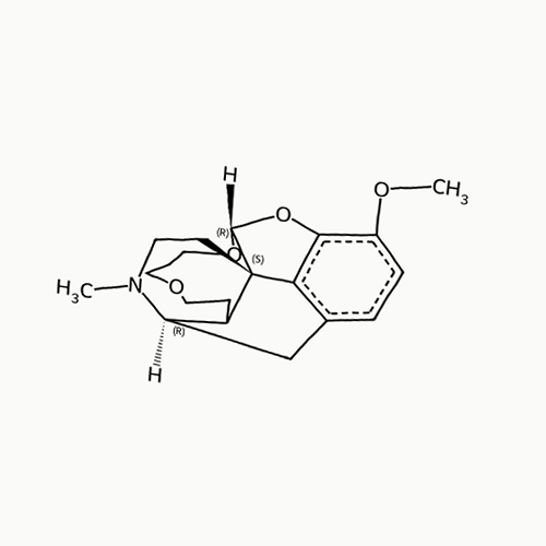 COc1ccc2c3c1O[C@H]1OCCCOCCC4[C@@H](C2)N(C)CC[C@@]341